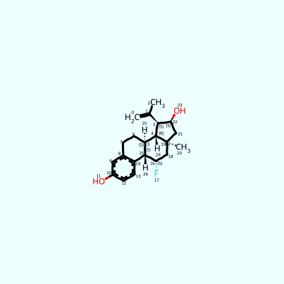 C=C(C)[C@@H]1[C@H]2[C@@H]3CCc4cc(O)ccc4[C@H]3[C@@H](F)C[C@]2(C)C[C@@H]1O